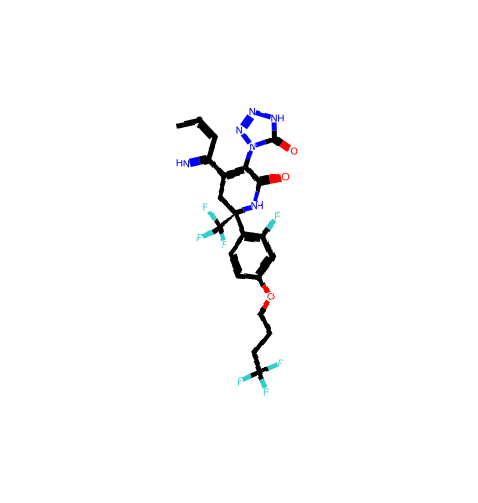 C/C=C\C(=N)C1=C(n2nn[nH]c2=O)C(=O)N[C@@](c2ccc(OCCCC(F)(F)F)cc2F)(C(F)(F)F)C1